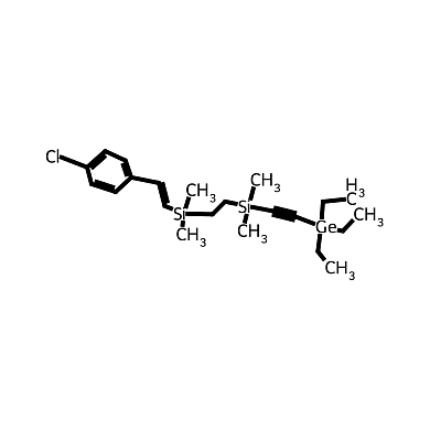 C[CH2][Ge]([C]#C[Si](C)(C)CC[Si](C)(C)C=Cc1ccc(Cl)cc1)([CH2]C)[CH2]C